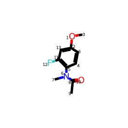 COc1ccc(N(C)C(C)=O)c(F)c1